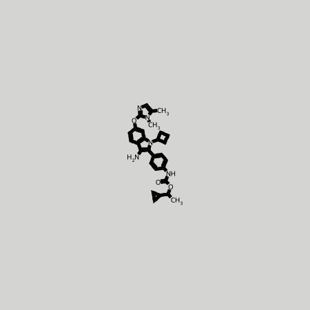 Cc1cnc(Oc2ccc3c(N)c(-c4ccc(NC(=O)OC(C)C5CC5)cc4)n(C4CCC4)c3c2)n1C